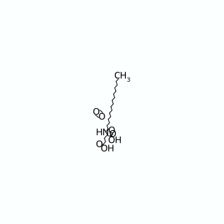 C1COCCO1.CCCCCCCCCCCCCCCCCC(=O)NC(CCC(=O)O)C(=O)O